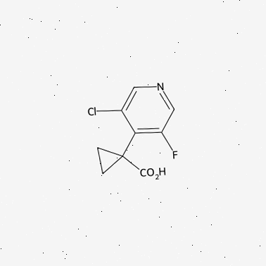 O=C(O)C1(c2c(F)cncc2Cl)CC1